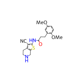 COc1ccc(OC)c(CCC(=O)Nc2sc3c(c2C#N)CCNC3)c1